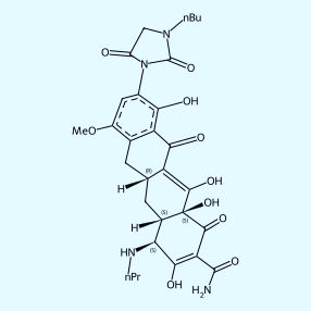 CCCCN1CC(=O)N(c2cc(OC)c3c(c2O)C(=O)C2=C(O)[C@]4(O)C(=O)C(C(N)=O)=C(O)[C@@H](NCCC)[C@@H]4C[C@@H]2C3)C1=O